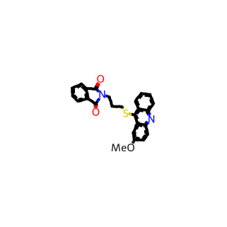 COc1ccc2nc3ccccc3c(SCCCN3C(=O)c4ccccc4C3=O)c2c1